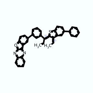 C=C/C(c1cccc(-c2ccc3oc4nc5ccccc5nc4c3c2)c1)=c1/sc2ccc(-c3ccccc3)cc2/c1=C/C